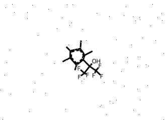 Cc1c(C)c(C)c(C(O)(C(F)(F)F)C(F)(F)F)c(C)c1C